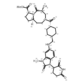 COC(=O)[C@@H]1CC[C@@H]2CCN(C(=O)[C@H]3CC[C@H](CNc4ccc5c(c4)n(C)c(=O)n5C4CCC(=O)NC4=O)CC3)C[C@H](C)C(=O)N21